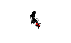 Cc1cc(N2CCCCC2)nc(OCc2cc(C(=O)NCc3cccc(C(F)F)c3)no2)n1